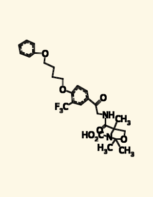 CC1(C)OCC(C)(C(=O)NCC(=O)c2ccc(OCCCCOc3ccccc3)c(C(F)(F)F)c2)N1C(=O)O